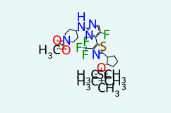 CC(C)(C)[Si](C)(C)OC1CCCC1c1nc(C(F)(F)F)c(-c2nc(NC3CCN(S(C)(=O)=O)CC3)ncc2F)s1